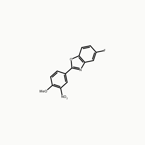 COc1ccc(-c2nc3cc(F)ccc3o2)cc1[N+](=O)[O-]